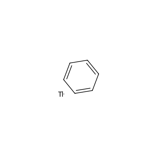 [Tl].c1ccccc1